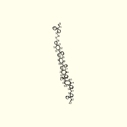 C=CC(=O)OCCCCOc1ccc(C(=O)Oc2ccc(C(=O)Oc3ccc(OC(=O)c4ccc(OCCCOC(=O)C=C)cc4)cc3)cc2)cc1